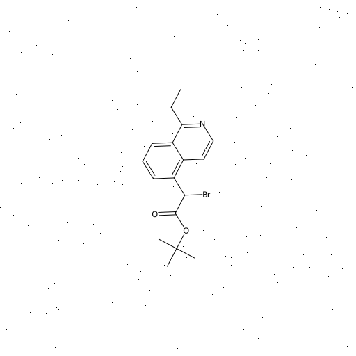 CCc1nccc2c(C(Br)C(=O)OC(C)(C)C)cccc12